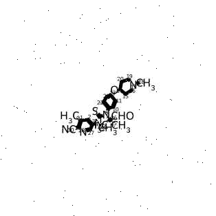 Cc1cc(N(C)C(=S)N(c2ccc(OC3CCN(C)CC3)cc2)C(C)(C)C=O)cnc1C#N